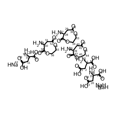 NC(CC(=O)O)C(=O)O.NC(CC(=O)O)C(=O)O.NC(CC(=O)O)C(=O)O.NC1CC(=O)OCCOC1=O.NC1CC(=O)OCCOC1=O.NC1CC(=O)OCCOC1=O.[NaH].[NaH].[NaH]